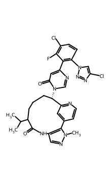 CC(C)C1CCC[C@H](n2cnc(-c3c(-n4cc(Cl)nn4)ccc(Cl)c3F)cc2=O)c2cc(ccn2)-c2c(cnn2C)NC1=O